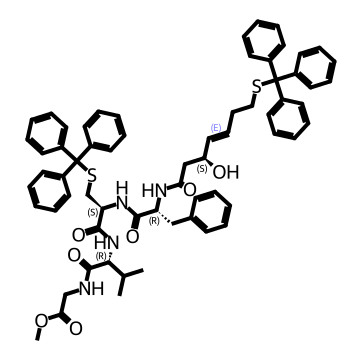 COC(=O)CNC(=O)[C@H](NC(=O)[C@@H](CSC(c1ccccc1)(c1ccccc1)c1ccccc1)NC(=O)[C@@H](Cc1ccccc1)NC(=O)C[C@H](O)/C=C/CCSC(c1ccccc1)(c1ccccc1)c1ccccc1)C(C)C